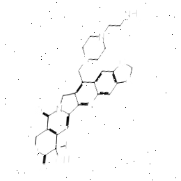 CC[C@@]1(O)C(=O)OCc2c1cc1n(c2=O)Cc2c-1nc1cc3c(cc1c2CN1CCN(CCN)CC1)OCO3